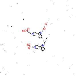 CCCCCn1cc(C2CCN(CCC(=O)O)CC2)c2ccccc21.COCCOCCn1cc(C2CCN(CCCC(=O)O)CC2)c2ccccc21